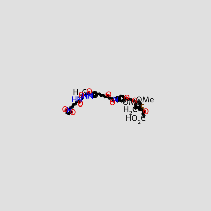 C=C1CC(OCCCOC2=CCC3=C(C=C2OC)CN(C(=O)CCC(=O)CCCCc2ccc(NC(=O)[C@H](C)NC(=O)CNC(=O)CCCCCN4C(=O)C=CC4=O)cc2)C3)C(OC)=Cc2sc(C(=O)CCC(=O)O)cc21